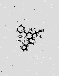 C[C@@H]1COCCN1c1cc(C(C)(C)C#N)c2snc(-c3ccnn3PI)c2n1